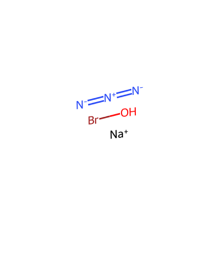 OBr.[N-]=[N+]=[N-].[Na+]